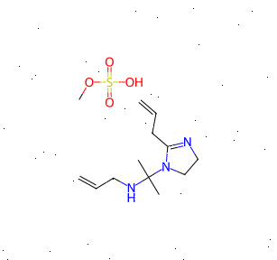 C=CCNC(C)(C)N1CCN=C1CC=C.COS(=O)(=O)O